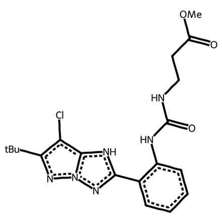 COC(=O)CCNC(=O)Nc1ccccc1-c1nn2nc(C(C)(C)C)c(Cl)c2[nH]1